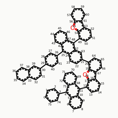 c1ccc(-c2c3ccccc3c(-c3cccc4c3oc3c(-c5ccc6c(-c7ccc(-c8ccc9ccccc9c8)cc7)c7ccccc7c(-c7cccc8c7oc7ccccc78)c6c5)cccc34)c3ccccc23)cc1